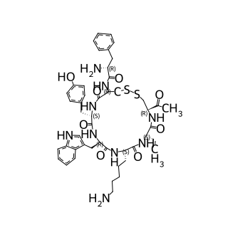 CC[C@@H]1NC(=O)[C@H](CCCCCN)NC(=O)[C@@H](Cc2c[nH]c3ccccc23)NC(=O)[C@H](Cc2ccc(O)cc2)NC(=O)[C@@H](NC(=O)[C@H](N)Cc2ccccc2)CSSC[C@@H](C(C)=O)NC1=O